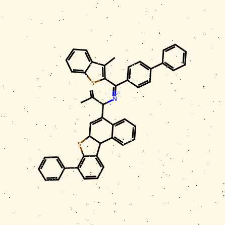 C=C(C)C(/N=C(/c1ccc(-c2ccccc2)cc1)c1sc2ccccc2c1C)C1=CC2Sc3c(-c4ccccc4)cccc3C2c2ccccc21